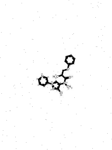 CC(CSc1ccccc1)C(=O)N(C)c1cn(-c2cccnc2)nc1Cl